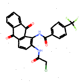 O=C(CCl)Nc1ccc2c(c1NC(=O)c1ccc(C(F)(F)F)cc1)C(=O)c1ccccc1C2=O